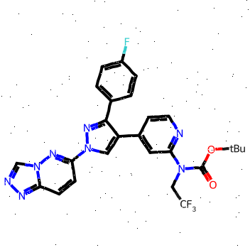 CC(C)(C)OC(=O)N(CC(F)(F)F)c1cc(-c2cn(-c3ccc4nncn4n3)nc2-c2ccc(F)cc2)ccn1